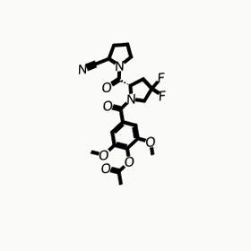 COc1cc(C(=O)N2CC(F)(F)C[C@H]2C(=O)N2CCCC2C#N)cc(OC)c1OC(C)=O